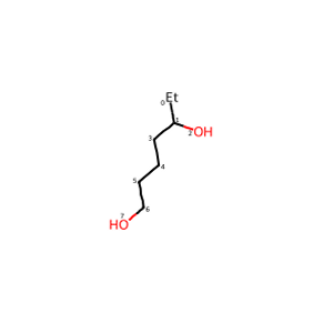 [CH2]CC(O)CCCCO